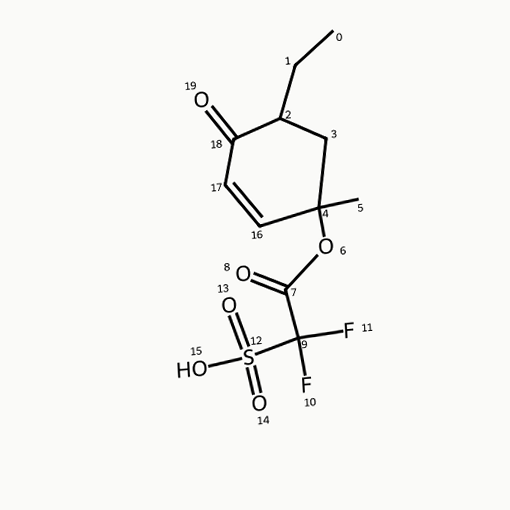 CCC1CC(C)(OC(=O)C(F)(F)S(=O)(=O)O)C=CC1=O